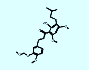 COCOc1cc(CCC(=O)c2c(OC)cc(OC)c(CCC(C)C)c2O)ccc1OC